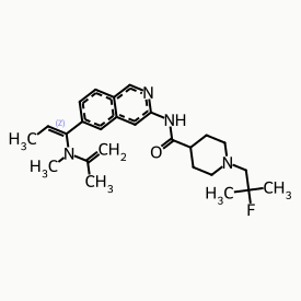 C=C(C)N(C)/C(=C\C)c1ccc2cnc(NC(=O)C3CCN(CC(C)(C)F)CC3)cc2c1